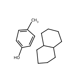 C1CCC2CCCCC2C1.Cc1ccc(O)cc1